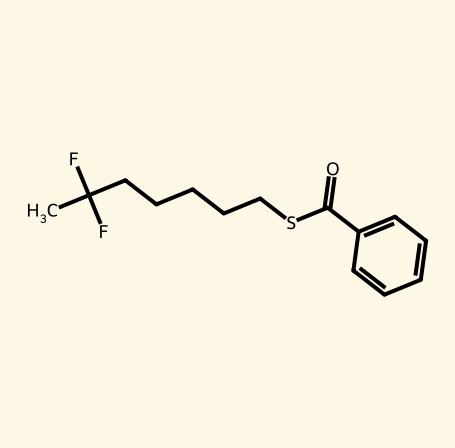 CC(F)(F)CCCCCSC(=O)c1ccccc1